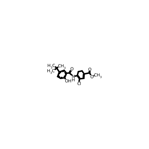 COC(=O)C1=CC(Cl)=C(NC(=O)c2cc(C(C)(C)C)ccc2O)CC1